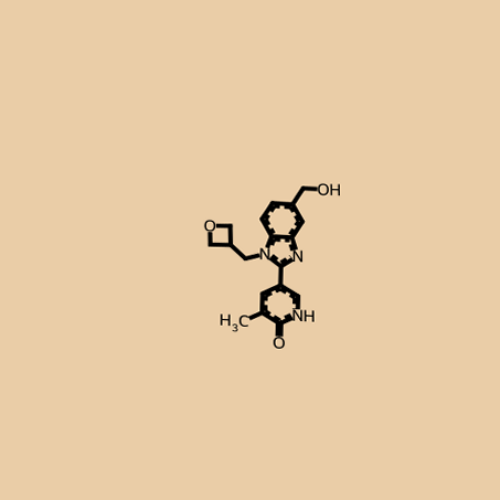 Cc1cc(-c2nc3cc(CO)ccc3n2CC2COC2)c[nH]c1=O